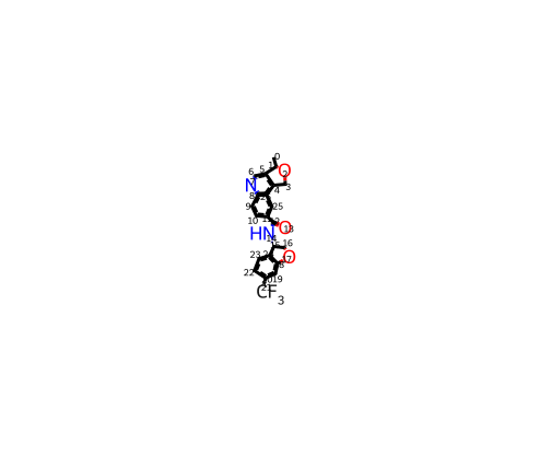 CC1OCc2c1cnc1ccc(C(=O)N[C@@H]3COc4cc(C(F)(F)F)ccc43)cc21